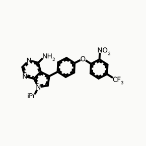 CC(C)n1cc(-c2ccc(Oc3ccc(C(F)(F)F)cc3[N+](=O)[O-])cc2)c2c(N)ncnc21